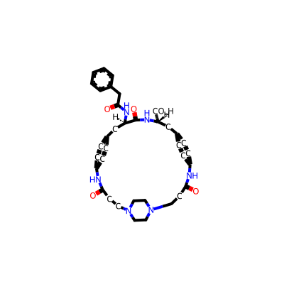 O=C1CCN2CCN(CCC(=O)Nc3ccc(cc3)C[C@@H](NC(=O)Cc3ccccc3)C(=O)N[C@H](C(=O)O)Cc3ccc(cc3)N1)CC2